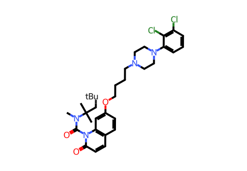 CN(C(=O)n1c(=O)ccc2ccc(OCCCCN3CCN(c4cccc(Cl)c4Cl)CC3)cc21)C(C)(C)CC(C)(C)C